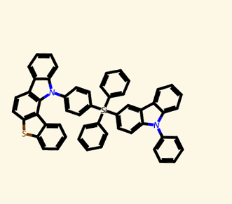 c1ccc(-n2c3ccccc3c3cc([Si](c4ccccc4)(c4ccccc4)c4ccc(-n5c6ccccc6c6ccc7sc8ccccc8c7c65)cc4)ccc32)cc1